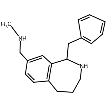 CNCc1ccc2c(c1)C(Cc1ccccc1)NCCC2